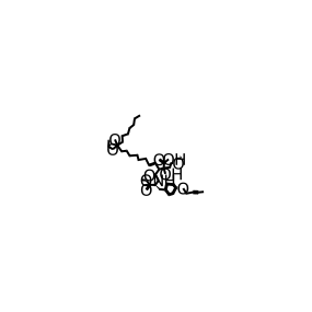 CC#CCOc1ccc(C[C@H](NC(=O)C(C=CCCCCCCC2(CCCCCCC)OCCO2)C(O)(CCOC)C(=O)O)C(=O)OC)cc1